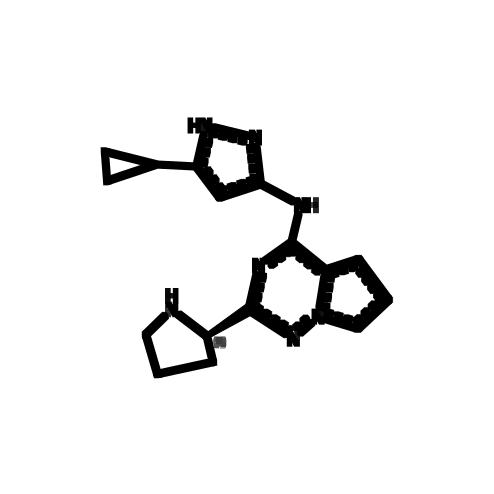 c1cc2c(Nc3cc(C4CC4)[nH]n3)nc([C@H]3CCCN3)nn2c1